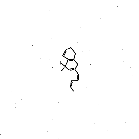 C/C=C\C=C/C1=CC(C)(I)C2=C(CCC=C2)C1